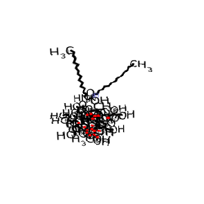 CCCCCCCCCCCCC/C=C/[C@@H](O)[C@H](CO[C@@H]1OC(CO)[C@@H](O[C@@H]2OC(CO)[C@H](O)[C@H](O[C@@H]3OC(CO)[C@@H](O[C@@H]4OC(CO)[C@H](O)[C@H](O[C@@H]5OC(CO)[C@@H](O[C@@H]6OC(CO)[C@H](O)[C@H](O)C6O)[C@H](O[C@H]6OC(C)[C@@H](O)C(O)[C@@H]6O)C5NC(C)=O)C4O)[C@H](O[C@H]4OC(C)[C@@H](O)C(O)[C@@H]4O)C3NC(C)=O)C2O)[C@H](O)C1O)NC(=O)CCCCCCCCCCCCCCC